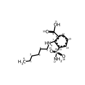 CCCCCCNc1c(C(=O)O)cccc1S(N)(=O)=O